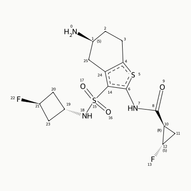 N[C@H]1CCc2sc(NC(=O)[C@H]3C[C@@H]3F)c(S(=O)(=O)N[C@H]3C[C@H](F)C3)c2C1